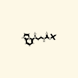 CC(C)(C)OC(=O)NCC[S+]([O-])c1cccc2nccn12